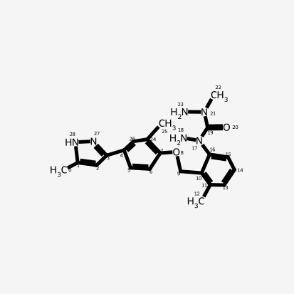 Cc1cc(-c2ccc(OCc3c(C)cccc3N(N)C(=O)N(C)N)c(C)c2)n[nH]1